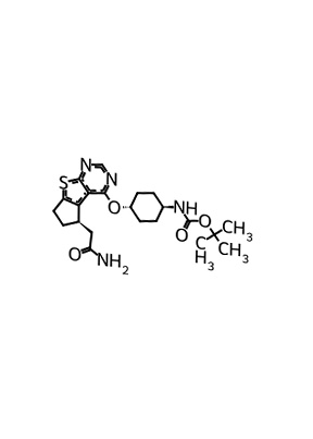 CC(C)(C)OC(=O)N[C@H]1CC[C@H](Oc2ncnc3sc4c(c23)[C@@H](CC(N)=O)CC4)CC1